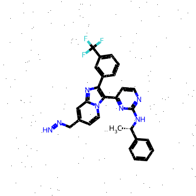 C[C@H](Nc1nccc(-c2c(-c3cccc(C(F)(F)F)c3)nc3cc(CN=N)ccn23)n1)c1ccccc1